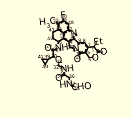 CCC1C(=O)OCc2c1cc1n(c2=O)Cc2c-1nc1cc(F)c(C)c3c1c2C(NC(=O)C(OCNC(=O)CNC=O)C1CC1)CC3